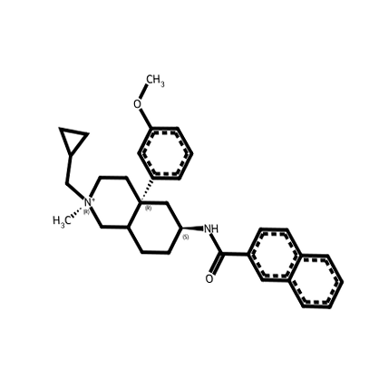 COc1cccc([C@@]23CC[N@+](C)(CC4CC4)CC2CC[C@H](NC(=O)c2ccc4ccccc4c2)C3)c1